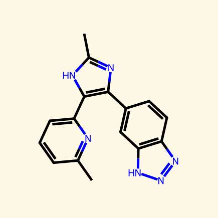 Cc1cccc(-c2[nH]c(C)nc2-c2ccc3nn[nH]c3c2)n1